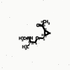 CN[C@@H](C)COC[C@H]1CC1C(C)=O